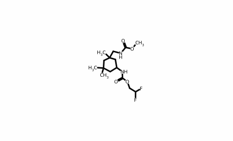 COC(=O)NCC1(C)CC(NC(=O)OCC(F)F)CC(C)(C)C1